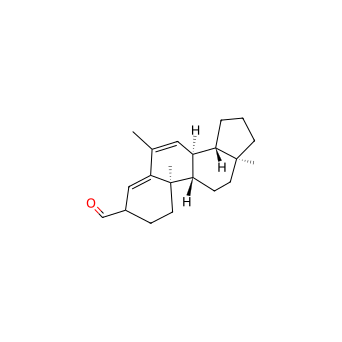 CC1=C[C@H]2[C@@H]3CCC[C@@]3(C)CC[C@@H]2[C@@]2(C)CCC(C=O)C=C12